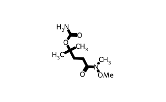 CON(C)C(=O)CCC(C)(C)OC(N)=O